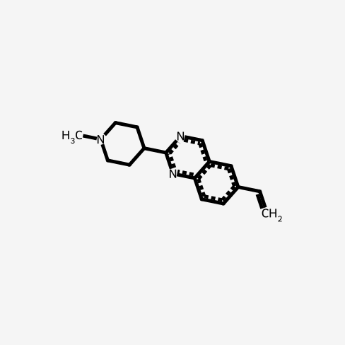 C=Cc1ccc2nc(C3CCN(C)CC3)ncc2c1